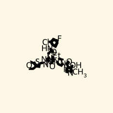 CCc1c(N2CCN(C(=O)c3ncnc(C)c3O)CC2)c(=O)n2nc(-c3cc4c(s3)COCC4)nc2n1CC(=O)Nc1ccc(F)cc1Cl